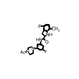 CC(=O)N1CCN(c2cc(F)cc(NC(=O)C3Cc4c(F)ccc(C)c4N3)c2)CC1